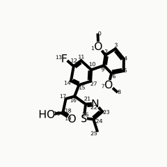 COc1cccc(OC)c1-c1cc(F)cc(C(CC(=O)O)c2ncc(C)s2)c1